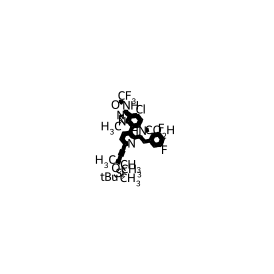 Cn1nc(NC(=O)C(F)(F)F)c2c(Cl)ccc(-c3ccc(C#CC(C)(C)O[Si](C)(C)C(C)(C)C)nc3C(Cc3cc(F)cc(F)c3)NC(=O)O)c21